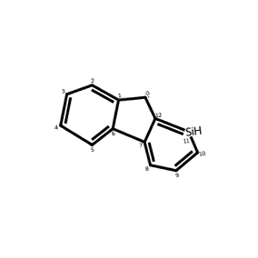 [CH]1c2ccccc2-c2ccc[siH]c21